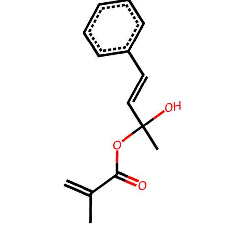 C=C(C)C(=O)OC(C)(O)C=Cc1ccccc1